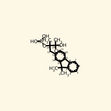 CC1(C)c2ccccc2-c2ccc(CC(C)(OB(O)O)C(C)(C)O)cc21